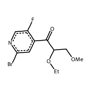 CCOC(COC)C(=O)c1cc(Br)ncc1F